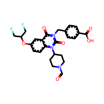 O=CN1CCC(n2c(=O)n(Cc3ccc(C(=O)O)cc3)c(=O)c3cc(OC(CF)CF)ccc32)CC1